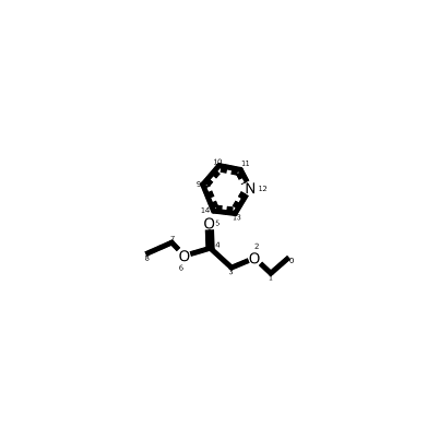 CCOCC(=O)OCC.c1ccncc1